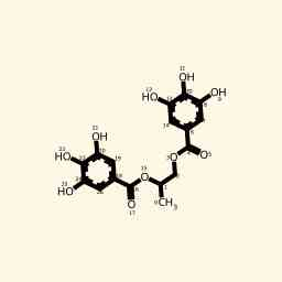 CC(COC(=O)c1cc(O)c(O)c(O)c1)OC(=O)c1cc(O)c(O)c(O)c1